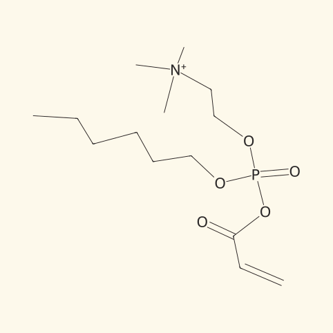 C=CC(=O)OP(=O)(OCCCCCC)OCC[N+](C)(C)C